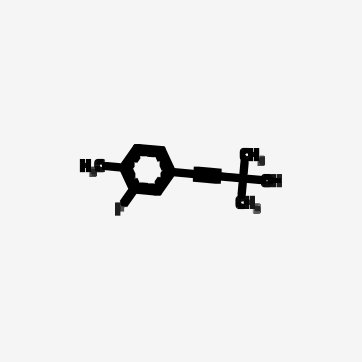 Cc1ccc(C#CC(C)(C)O)cc1F